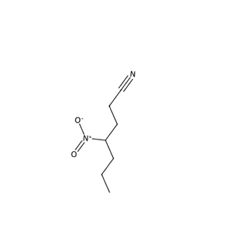 CCCC(CCC#N)[N+](=O)[O-]